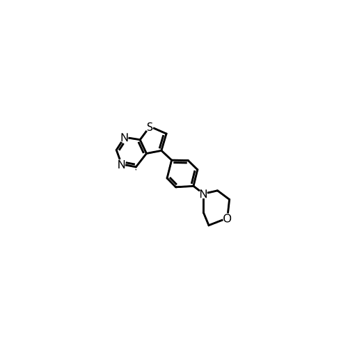 [c]1ncnc2scc(-c3ccc(N4CCOCC4)cc3)c12